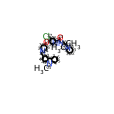 CCn1c2ccccc2c2cc(CN3CCC(Oc4ccc(C(=O)NCC(C)(C)N5CCCCC5)cc4Cl)CC3)ccc21